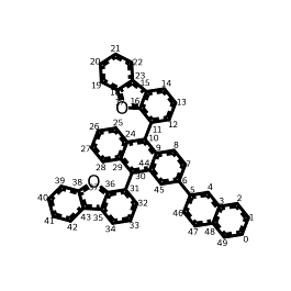 c1ccc2cc(-c3ccc4c(-c5cccc6c5oc5ccccc56)c5ccccc5c(-c5cccc6c5oc5ccccc56)c4c3)ccc2c1